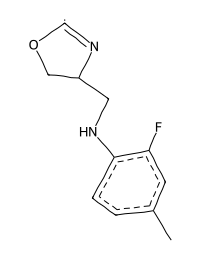 Cc1ccc(NCC2CO[C]=N2)c(F)c1